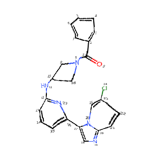 O=C(c1ccccc1)N1CC(Nc2cccc(-c3cnc4ccc(Cl)cn34)n2)C1